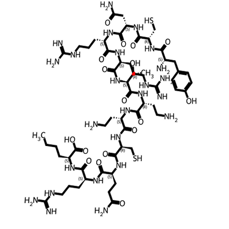 CCCC[C@H](NC(=O)[C@H](CCCNC(=N)N)NC(=O)[C@H](CCC(N)=O)NC(=O)[C@H](CS)NC(=O)[C@H](CCN)NC(=O)[C@@H](CCN)NC(=O)[C@@H](NC(=O)[C@H](CCCNC(=N)N)NC(=O)[C@H](CCCNC(=N)N)NC(=O)[C@H](CC(N)=O)NC(=O)[C@H](CS)NC(=O)[C@@H](N)Cc1ccc(O)cc1)[C@@H](C)O)C(=O)O